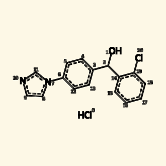 Cl.OC(c1ccc(-n2ccnc2)cc1)c1ccccc1Cl